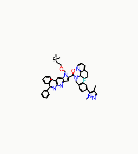 Cc1cc2c(cc(C(=O)N(Cc3ccc(-c4c(C)cnn4C)cc3F)C3CCCc4cccnc43)n2COCC[Si](C)(C)C)nc1N=C(c1ccccc1)c1ccccc1